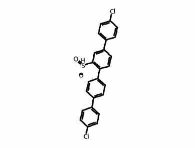 O=[SH](=O)c1cc(-c2ccc(Cl)cc2)ccc1-c1ccc(-c2ccc(Cl)cc2)cc1